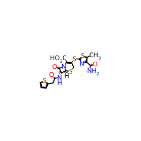 Cc1sc(SC2=C(C(=O)O)N3C(=O)[C@@H](NC(=O)Cc4cccs4)[C@@H]3SC2)nc1C(N)=O